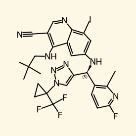 Cc1nc(F)ccc1[C@H](Nc1cc(I)c2ncc(C#N)c(NCC(C)(C)C)c2c1)c1cn(C2(C(F)(F)F)CC2)nn1